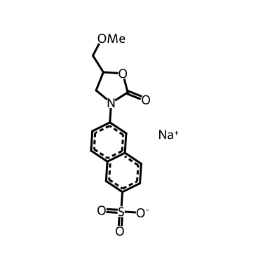 COCC1CN(c2ccc3cc(S(=O)(=O)[O-])ccc3c2)C(=O)O1.[Na+]